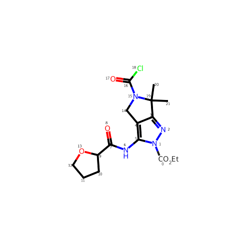 CCOC(=O)n1nc2c(c1NC(=O)C1CCCO1)CN(C(=O)Cl)C2(C)C